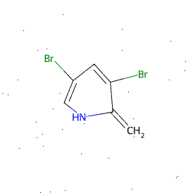 C=C1NC=C(Br)C=C1Br